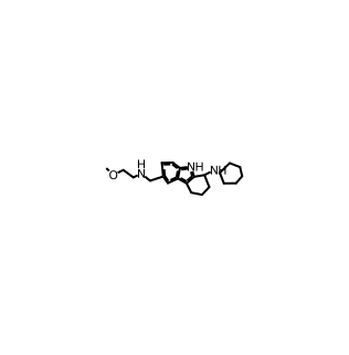 COCCNCc1ccc2[nH]c3c(c2c1)CCCC3NC1CCCCC1